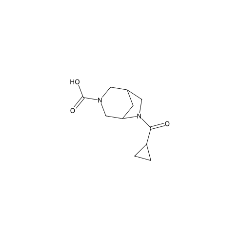 O=C(O)N1CC2CC(C1)N(C(=O)C1CC1)C2